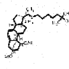 CC(=O)O[C@@H]1CC2=CC=C3[C@@H]4CC[C@H]([C@H](C)SCCCCCC(C)(C)O)[C@@]4(C)CC[C@@H]3[C@@]2(C)[C@@H](OC(C)=O)C1